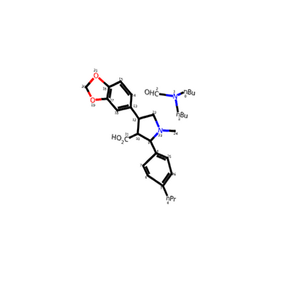 CCCCN(C=O)CCCC.CCCc1ccc(C2C(C(=O)O)C(c3ccc4c(c3)OCO4)CN2C)cc1